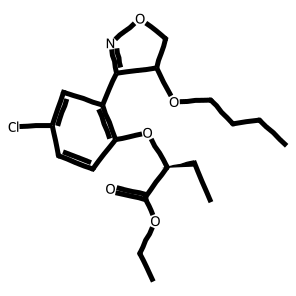 CCCCOC1CON=C1c1cc(Cl)ccc1O[C@@H](CC)C(=O)OCC